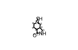 O=C1NCC2CN(S)CCC12